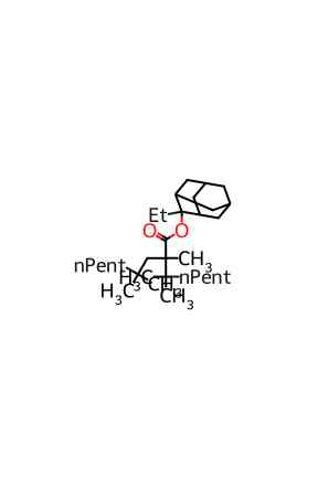 CCCCCC(C)(C)CC(C)(C(=O)OC1(CC)C2CC3CC(C2)CC1C3)C(C)(C)CCCCC